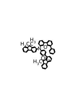 CC1(C)c2ccccc2-c2ccc(N(c3ccc(-c4cccc5c4C(C)(C)c4ccccc4-5)cc3)c3cccc4c3oc3c(-c5ccccc5)cccc34)cc21